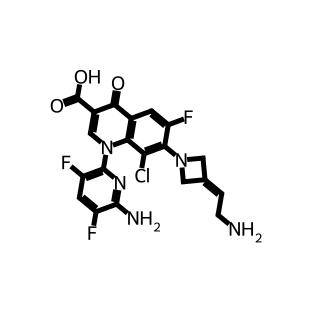 NCC=C1CN(c2c(F)cc3c(=O)c(C(=O)O)cn(-c4nc(N)c(F)cc4F)c3c2Cl)C1